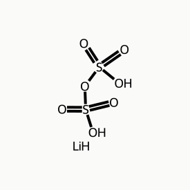 O=S(=O)(O)OS(=O)(=O)O.[LiH]